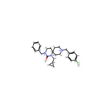 O=C1N(Cc2ccccc2)CCC2(CCN(Cc3ccc(Cl)cc3)CC2)N1CC1CC1